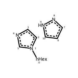 CCCCCCn1ccnc1.c1cn[nH]c1